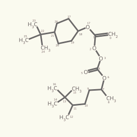 C=C(OOC(=O)OC(C)CCC(C)C(C)(C)C)OC1CCC(C(C)(C)C)CC1